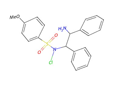 COc1ccc(S(=O)(=O)N(Cl)C(c2ccccc2)C(N)c2ccccc2)cc1